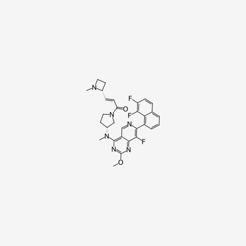 COc1nc(N(C)[C@@H]2CCN(C(=O)/C=C/[C@H]3CCN3C)C2)c2cnc(-c3cccc4ccc(F)c(F)c34)c(F)c2n1